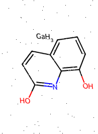 Oc1ccc2cccc(O)c2n1.[GaH3]